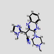 CN1CCN(c2nc3ccccc3nc2C(C#N)c2nccn2C)CC1